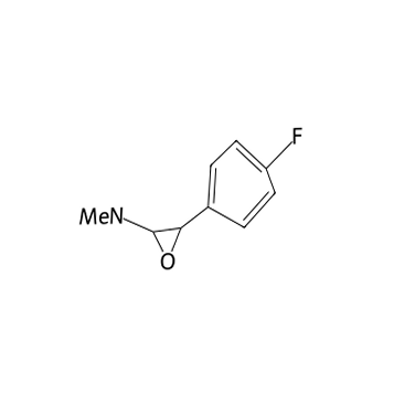 CNC1OC1c1ccc(F)cc1